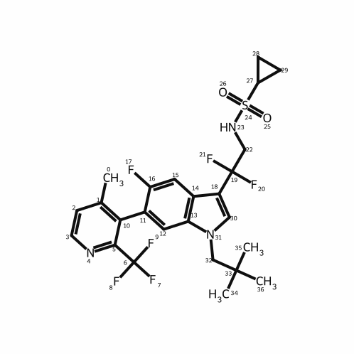 Cc1ccnc(C(F)(F)F)c1-c1cc2c(cc1F)c(C(F)(F)CNS(=O)(=O)C1CC1)cn2CC(C)(C)C